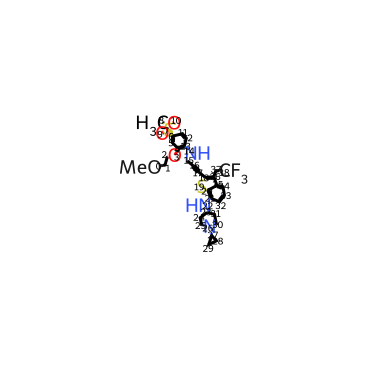 COCCOc1cc(S(C)(=O)=O)ccc1NCC#Cc1sc2c(NC3CCN(C4CC4)CC3)cccc2c1CC(F)(F)F